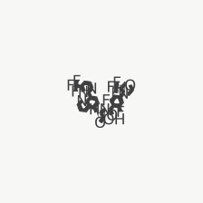 O=C(N[C@@H](Cc1ccc(-c2nccc(C(F)(F)F)n2)c2ncccc12)C(=O)O)c1c(F)cc(N2CCOC[C@@H]2C(F)(F)F)cc1F